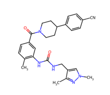 Cc1ccc(C(=O)N2CCC(c3ccc(C#N)cc3)CC2)cc1NC(=O)NCc1cn(C)nc1C